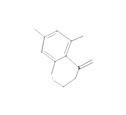 C=C1CCOc2cc(C)cc(C)c21